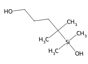 CC(C)(CCCO)[Si](C)(C)O